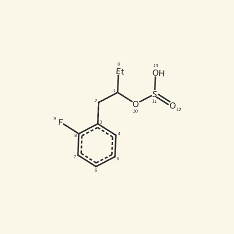 CCC(Cc1ccccc1F)OS(=O)O